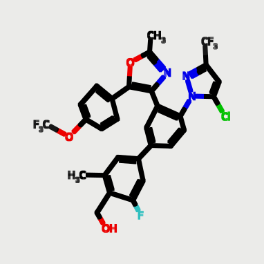 Cc1nc(-c2cc(-c3cc(C)c(CO)c(F)c3)ccc2-n2nc(C(F)(F)F)cc2Cl)c(-c2ccc(OC(F)(F)F)cc2)o1